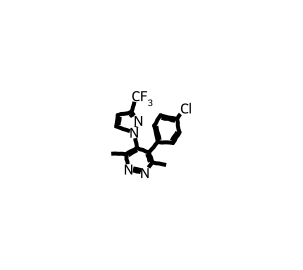 Cc1nnc(C)c(-n2ccc(C(F)(F)F)n2)c1-c1ccc(Cl)cc1